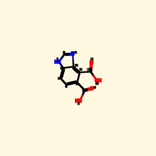 O=C(O)c1ccc2[nH]cnc2c1C(=O)O